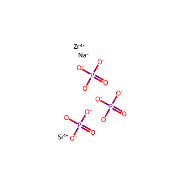 O=P([O-])([O-])[O-].O=P([O-])([O-])[O-].O=P([O-])([O-])[O-].[Na+].[Si+4].[Zr+4]